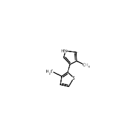 Cc1[c][nH]cc1-c1sccc1C